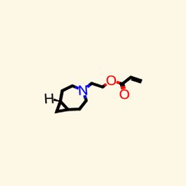 C=CC(=O)OCCN1CCC2C[C@@H]2CC1